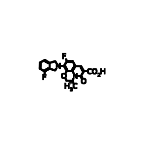 C[C@H]1COc2c(N3Cc4cccc(F)c4C3)c(F)cc3cc(C(=O)O)c(=O)n1c23